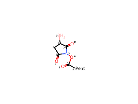 BC1CC(=O)N(OC(=O)C(C)CCC)C1=O